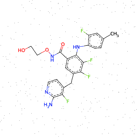 Cc1ccc(Nc2c(C(=O)NOCCO)cc(Cc3ccnc(N)c3F)c(F)c2F)c(F)c1